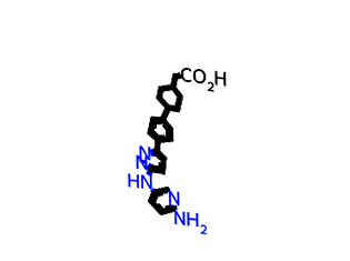 Nc1ccc(Nc2ccc(-c3ccc(C4CCC(CC(=O)O)CC4)cc3)nn2)cn1